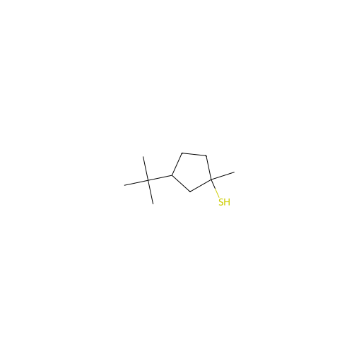 CC1(S)CCC(C(C)(C)C)C1